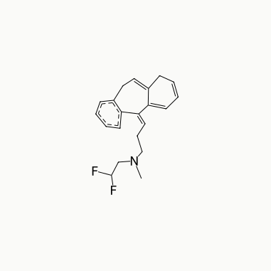 CN(CCC=C1C2=CC=CCC2=CCc2ccccc21)CC(F)F